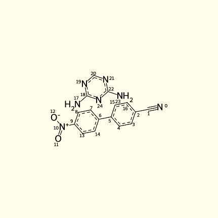 N#Cc1ccc(-c2ccc([N+](=O)[O-])cc2)cc1.Nc1ncnc(N)n1